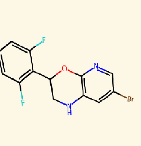 Fc1cccc(F)c1C1CNc2cc(Br)cnc2O1